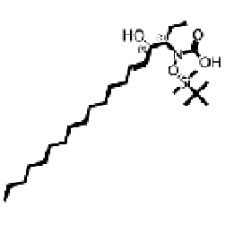 CCCCCCCCCCCCCC=C[C@H](O)[C@@H](CC)N(O[Si](C)(C)C(C)(C)C)C(=O)O